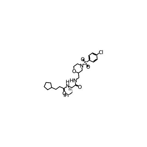 CC(C)C[C@H](NC(=O)CCC1CCCC1)C(=O)NCC1CN(S(=O)(=O)c2ccc(Cl)cc2)CCO1